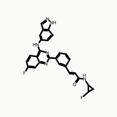 O=C(/C=C/c1cccc(-c2nc(Nc3ccc4[nH]ncc4c3)c3ccc(F)cc3n2)c1)NC1CC1F